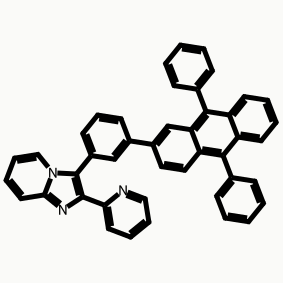 c1ccc(-c2c3ccccc3c(-c3ccccc3)c3cc(-c4cccc(-c5c(-c6ccccn6)nc6ccccn56)c4)ccc23)cc1